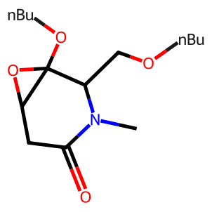 CCCCOCC1N(C)C(=O)CC2OC21OCCCC